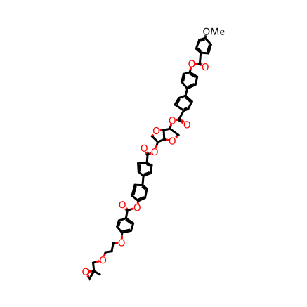 COc1ccc(C(=O)Oc2ccc(-c3ccc(C(=O)OC4COC5C(OC(=O)c6ccc(-c7ccc(OC(=O)c8ccc(OCCCOCC9(C)CO9)cc8)cc7)cc6)COC45)cc3)cc2)cc1